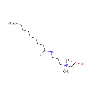 CCCCCCCCCCCCCCCCCC(=O)NCCC[N+](C)(C)CCO